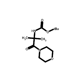 CC(C)(C)OC(=O)NC(C)(C)C(=O)N1CCOCC1